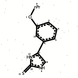 CCCOc1cccc(-c2c[nH]c(=S)[nH]2)c1